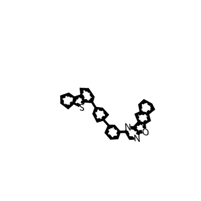 c1cc(-c2ccc(-c3cccc4c3sc3ccccc34)cc2)cc(-c2cnc3oc4cc5ccccc5cc4c3n2)c1